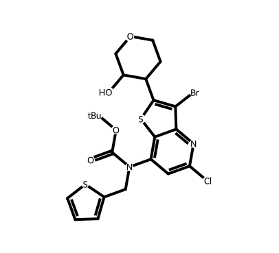 CC(C)(C)OC(=O)N(Cc1cccs1)c1cc(Cl)nc2c(Br)c(C3CCOCC3O)sc12